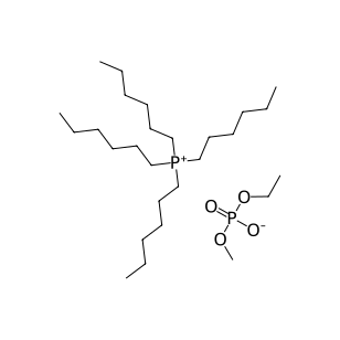 CCCCCC[P+](CCCCCC)(CCCCCC)CCCCCC.CCOP(=O)([O-])OC